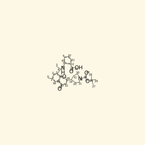 Cc1cc(C(C)Nc2ccccc2C(=O)O)c2oc(C3CCN(C(=O)OC(C)(C)C)CC3)cc(=O)c2c1